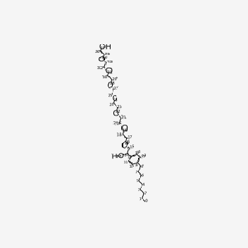 CCCCCCCCCc1ccc(C(O)COCCOCCOCCOCCOCCOCCOCCO)cc1